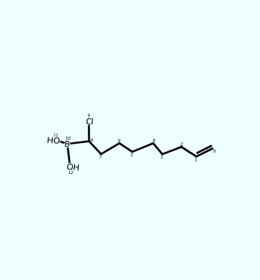 C=CCCCCCCC(Cl)B(O)O